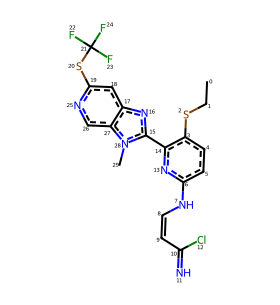 CCSc1ccc(N/C=C\C(=N)Cl)nc1-c1nc2cc(SC(F)(F)F)ncc2n1C